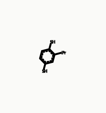 CC(C)c1cc(S)ccc1S